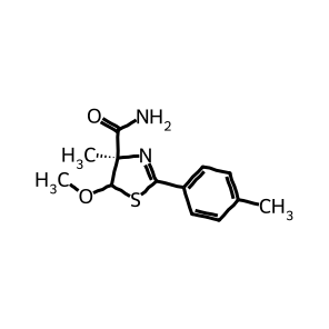 COC1SC(c2ccc(C)cc2)=N[C@]1(C)C(N)=O